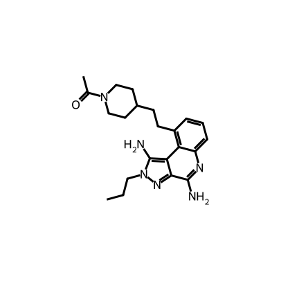 CCCn1nc2c(N)nc3cccc(CCC4CCN(C(C)=O)CC4)c3c2c1N